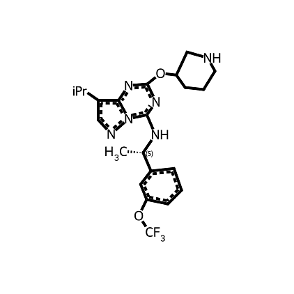 CC(C)c1cnn2c(N[C@@H](C)c3cccc(OC(F)(F)F)c3)nc(OC3CCCNC3)nc12